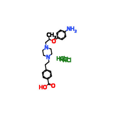 CC(CN1CCN(CCc2ccc(C(=O)O)cc2)CC1)Oc1ccc(N)cc1.Cl.Cl.Cl